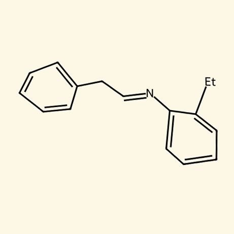 CCc1ccccc1N=CCc1ccccc1